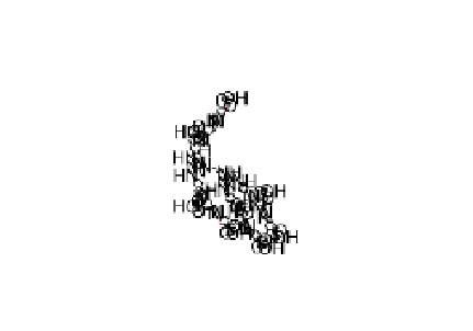 Cc1cc(Nc2nc(NCCCNc3nc(Nc4ccc(N=Nc5ccc(N=Nc6ccc(S(=O)(=O)O)cc6)cc5S(=O)(=O)O)c(C)c4)nc(Nc4ccc(N=Nc5ccc(N=Nc6ccc(S(=O)(=O)O)cc6)cc5S(=O)(=O)O)c(C)c4)n3)nc(Nc3ccc(N=Nc4ccc(N=Nc5ccc(S(=O)(=O)O)cc5)cc4S(=O)(=O)O)c(C)c3)n2)ccc1N=Nc1ccc(N=Nc2ccc(S(=O)(=O)O)cc2)cc1S(=O)(=O)O